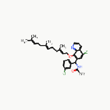 CCCC(=O)NC(c1cccc(Cl)c1)c1cc(Cl)c2cccnc2c1OC/C=C(\C)CC/C=C(\C)CCC=C(C)C